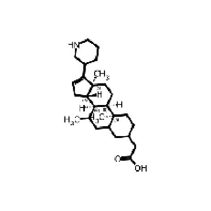 CC1CC2CC(CC(=O)O)CC[C@]2(C)[C@@H]2CC[C@]3(C)C(C4CCCNC4)=CC[C@H]3[C@H]12